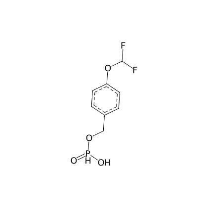 O=[PH](O)OCc1ccc(OC(F)F)cc1